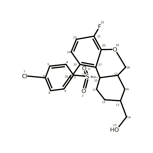 O=S(=O)(c1ccc(Cl)cc1)[C@@]12CCC(CO)CC1COc1c(F)ccc(F)c12